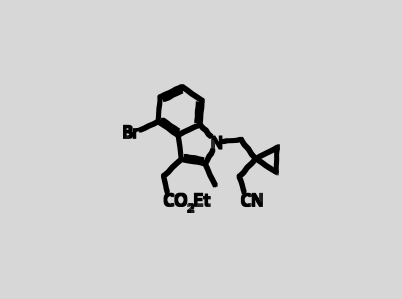 CCOC(=O)Cc1c(C)n(CC2(CC#N)CC2)c2cccc(Br)c12